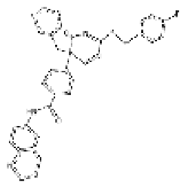 O=C(Nc1ccc2ncccc2c1)c1ccc(C2(Cc3cncnc3)C=NC(SCc3ccc(F)cc3)=NC2=O)cc1